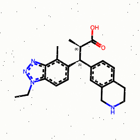 CCn1nnc2c(C)c([C@H](c3ccc4c(c3)CNCC4)[C@@H](C)C(=O)O)ccc21